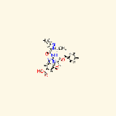 CCn1nc(C)cc1C(=O)Nc1nc2cc(C(=O)O)cc3c2n1C(COCc1ccccc1)CO3